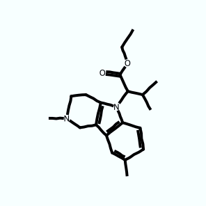 CCOC(=O)C(C(C)C)n1c2c(c3cc(C)ccc31)CN(C)CC2